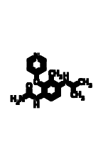 Cc1c(NC(C)C)ccc(NC(N)=O)c1Oc1ccncc1